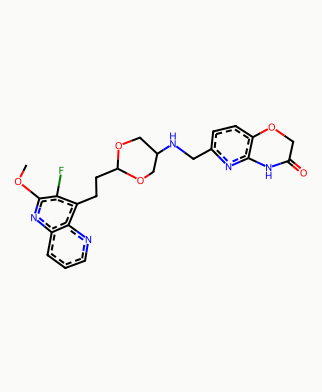 COc1nc2cccnc2c(CCC2OCC(NCc3ccc4c(n3)NC(=O)CO4)CO2)c1F